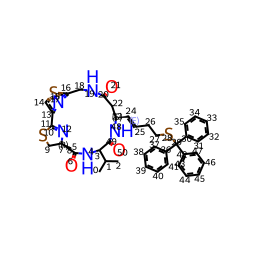 CC(C)C1NC(=O)[C@]2(C)CSC(=N2)c2csc(n2)CNC(=O)C[C@@H](/C=C/CCSC(c2ccccc2)(c2ccccc2)c2ccccc2)NC1=O